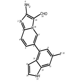 Nc1nc2ccc(-c3cc(F)cc4[nH]ccc34)cn2c1C=O